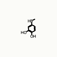 CBc1ccc(O)c(O)c1